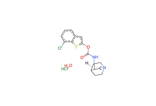 Cl.O.O=C(N[C@H]1CN2CCC1CC2)Oc1cc2cccc(Cl)c2s1